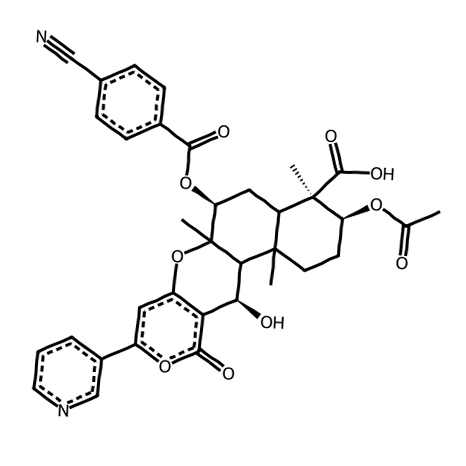 CC(=O)O[C@H]1CCC2(C)C3[C@@H](O)c4c(cc(-c5cccnc5)oc4=O)OC3(C)[C@@H](OC(=O)c3ccc(C#N)cc3)CC2[C@@]1(C)C(=O)O